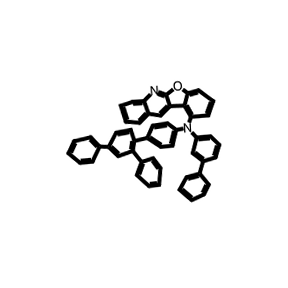 c1ccc(-c2cccc(N(c3ccc(-c4ccc(-c5ccccc5)cc4-c4ccccc4)cc3)c3cccc4oc5nc6ccccc6cc5c34)c2)cc1